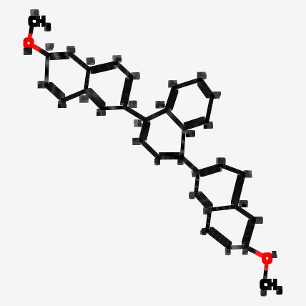 COc1ccc2cc(-c3ccc(-c4ccc5cc(OC)ccc5c4)c4ccccc34)ccc2c1